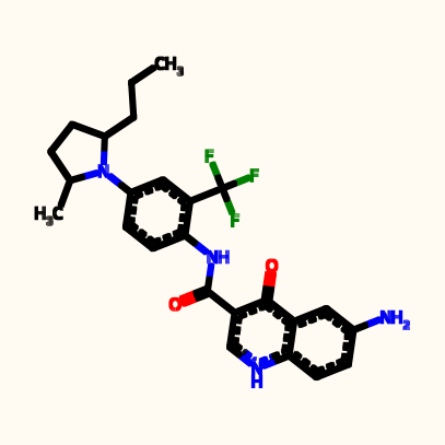 CCCC1CCC(C)N1c1ccc(NC(=O)c2c[nH]c3ccc(N)cc3c2=O)c(C(F)(F)F)c1